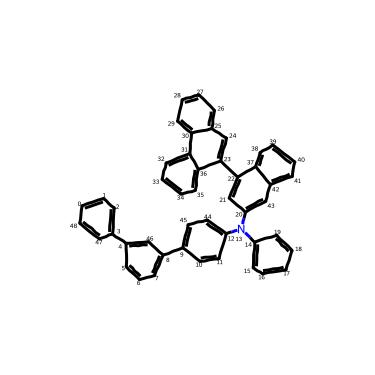 c1ccc(-c2cccc(-c3ccc(N(c4ccccc4)c4cc(-c5cc6ccccc6c6ccccc56)c5ccccc5c4)cc3)c2)cc1